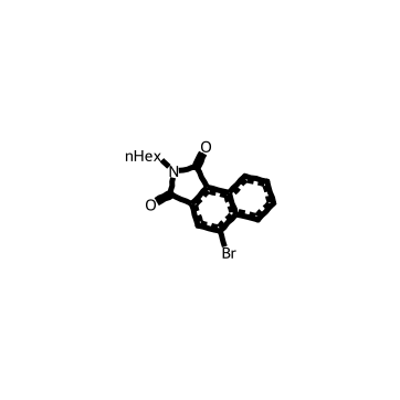 CCCCCCN1C(=O)c2cc(Br)c3ccccc3c2C1=O